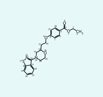 CCOC(=O)c1ccc(OCCC2CN(c3nsc4ccccc34)CCO2)cc1